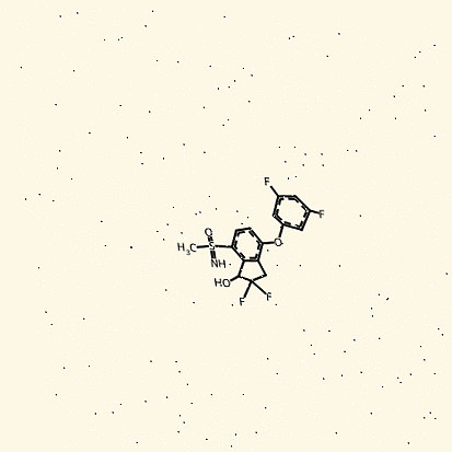 CS(=N)(=O)c1ccc(Oc2cc(F)cc(F)c2)c2c1C(O)C(F)(F)C2